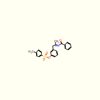 Cc1ccc(S(=O)(=O)Oc2cccc(CC(C)NC(=O)c3ccccc3)c2)cc1